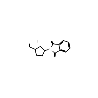 O=C(O)CC1CCC(N2C(=O)c3ccccc3C2=O)C1